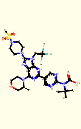 C[C@H]1COCCN1c1nc(-c2cnc(N(C(=O)O)C(C)(C)C)nc2)nc2c1nc(N1CCN(S(C)(=O)=O)CC1)n2CC(F)(F)F